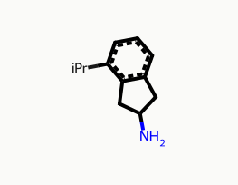 CC(C)c1cccc2c1CC(N)C2